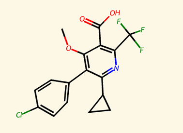 COc1c(C(=O)O)c(C(F)(F)F)nc(C2CC2)c1-c1ccc(Cl)cc1